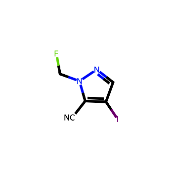 N#Cc1c(I)cnn1CF